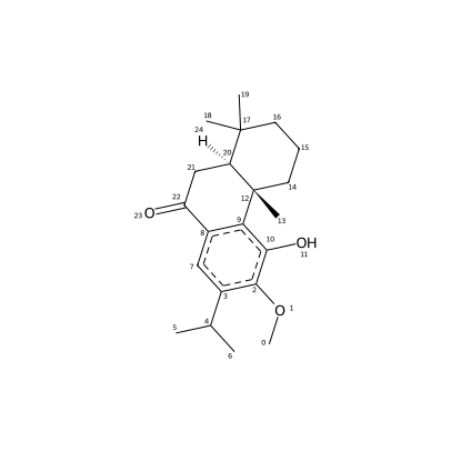 COc1c(C(C)C)cc2c(c1O)[C@@]1(C)CCCC(C)(C)[C@@H]1CC2=O